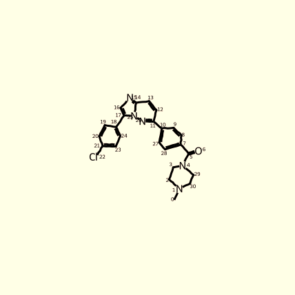 CN1CCN(C(=O)c2ccc(-c3ccc4ncc(-c5ccc(Cl)cc5)n4n3)cc2)CC1